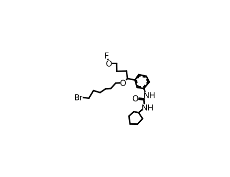 O=C(Nc1cccc(C(CCCOF)OCCCCCCBr)c1)NC1CCCCC1